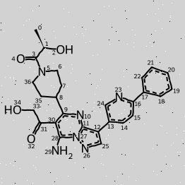 C[C@@H](O)C(=O)N1CCC(c2nc3c(-c4ccc(-c5ccccc5)nc4)cnn3c(N)c2C(=O)CO)CC1